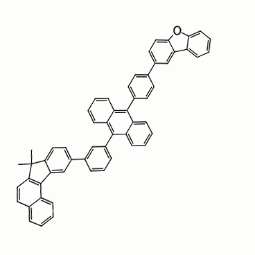 CC1(C)c2ccc(-c3cccc(-c4c5ccccc5c(-c5ccc(-c6ccc7oc8ccccc8c7c6)cc5)c5ccccc45)c3)cc2-c2c1ccc1ccccc21